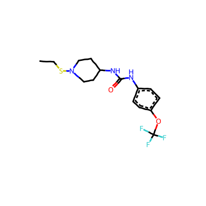 CCSN1CCC(NC(=O)Nc2ccc(OC(F)(F)F)cc2)CC1